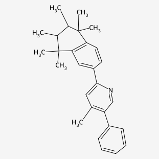 Cc1cc(-c2ccc3c(c2)C(C)(C)C(C)C(C)C3(C)C)ncc1-c1ccccc1